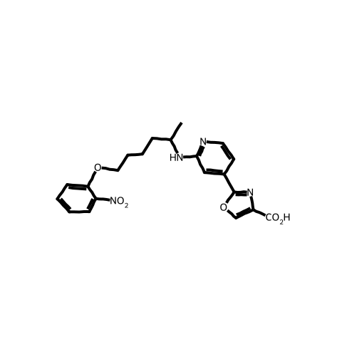 CC(CCCCOc1ccccc1[N+](=O)[O-])Nc1cc(-c2nc(C(=O)O)co2)ccn1